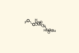 CC(C)(C)OC(=O)NCCCN1CCC(n2cc3c(nc2=O)Nc2cc(CCc4cccc(F)c4)ccc2C3)CC1